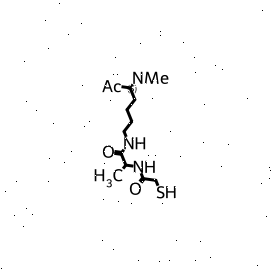 CN[C@@H](CCCCNC(=O)C(C)NC(=O)CS)C(C)=O